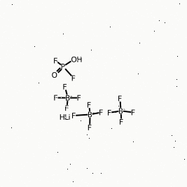 F[B-](F)(F)F.F[B-](F)(F)F.F[B-](F)(F)F.O=P(O)(F)F.[LiH]